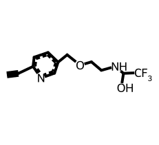 C#Cc1ccc(COCCNC(O)C(F)(F)F)cn1